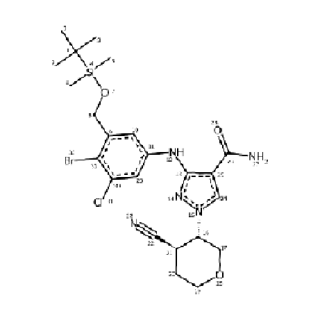 CC(C)(C)[Si](C)(C)OCc1cc(Nc2nn([C@@H]3COCC[C@H]3C#N)cc2C(N)=O)cc(Cl)c1Br